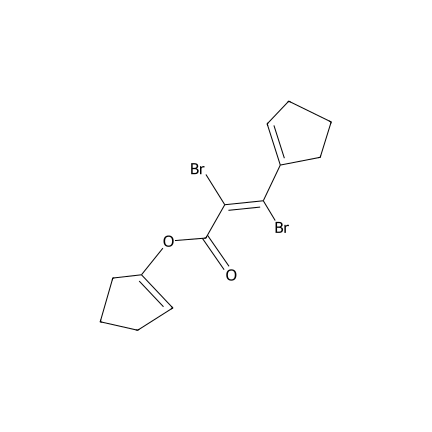 O=C(OC1=CCCC1)C(Br)=C(Br)C1=CCCC1